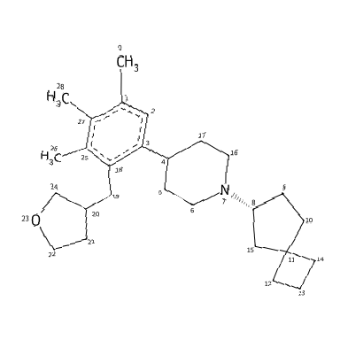 Cc1cc(C2CCN([C@@H]3CCC4(CCC4)C3)CC2)c(CC2CCOC2)c(C)c1C